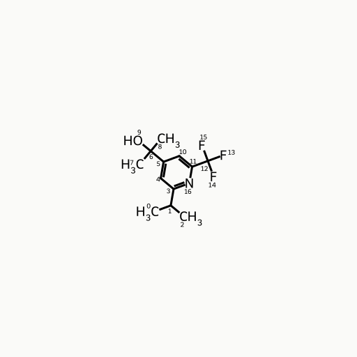 CC(C)c1cc(C(C)(C)O)cc(C(F)(F)F)n1